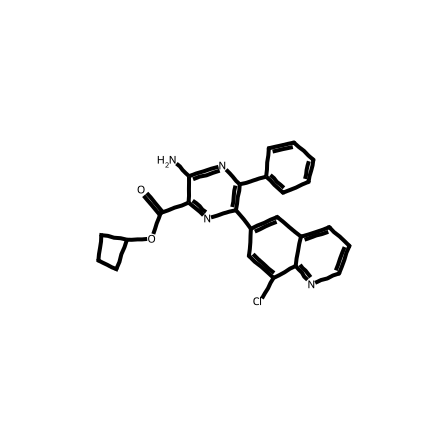 Nc1nc(-c2ccccc2)c(-c2cc(Cl)c3ncccc3c2)nc1C(=O)OC1CCC1